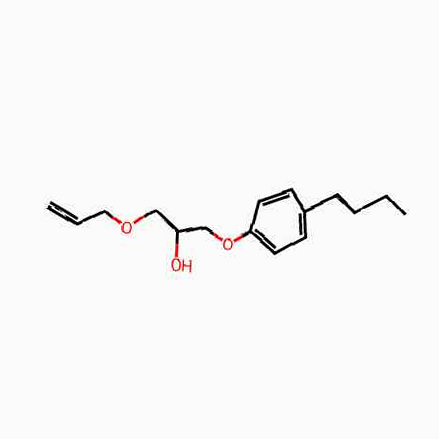 C=CCOCC(O)COc1ccc(CCCC)cc1